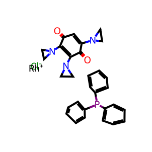 O=C1C=C(N2CC2)C(=O)C(N2CC2)=C1N1CC1.[Cl-].[Rh+].c1ccc(P(c2ccccc2)c2ccccc2)cc1